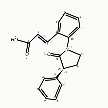 O=C(O)/C=C/c1ccccc1N1CC[C@@H](c2ccccc2)C1=O